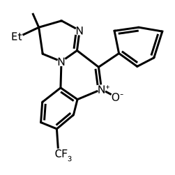 CCC1(C)CN=C2C(c3ccccc3)=[N+]([O-])c3cc(C(F)(F)F)ccc3N2C1